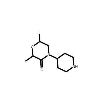 CC1OC(I)CN(C2CCNCC2)C1=O